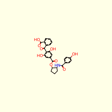 O=C(NC1CCCC1OC(=O)c1cc(O)c(C(=O)c2ccccc2C(=O)O)c(O)c1)c1ccc(O)cc1